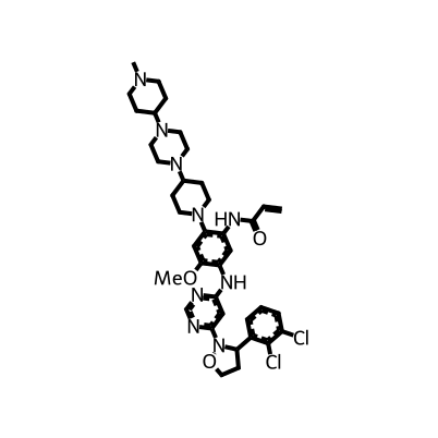 C=CC(=O)Nc1cc(Nc2cc(N3OCCC3c3cccc(Cl)c3Cl)ncn2)c(OC)cc1N1CCC(N2CCN(C3CCN(C)CC3)CC2)CC1